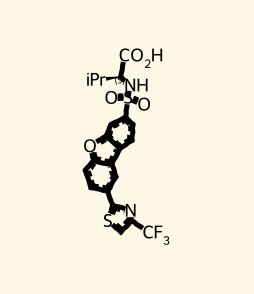 CC(C)[C@H](NS(=O)(=O)c1ccc2c(c1)oc1ccc(-c3nc(C(F)(F)F)cs3)cc12)C(=O)O